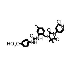 CC1(C)C(=O)N(c2ccnc(Cl)c2)C(=O)N1Cc1ccc(F)cc1NC(=O)Nc1ccc(C(=O)O)cc1